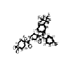 COC1(C(=O)N2CC[C@](c3ccc(C(F)(C(F)(F)F)C(F)(F)F)cc3)(S(=O)(=O)c3ccc(F)cc3)C2)CCS(=O)(=O)CC1